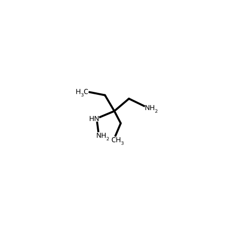 CCC(CC)(CN)NN